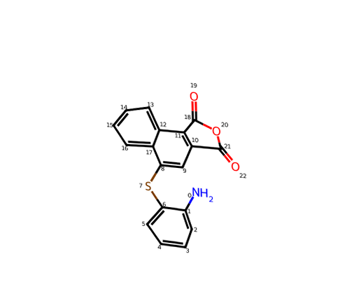 Nc1ccccc1Sc1cc2c(c3ccccc13)C(=O)OC2=O